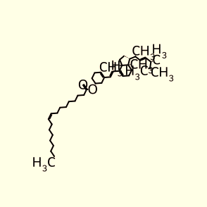 CCCCCCCC/C=C\CCCCCCCC(=O)O[C@H]1CCC(C)=C(/C=C/C2=CCC[C@]3(C)[C@@H]([C@H](C)/C=C/[C@H](C)C(C)C)CC[C@@H]23)C1